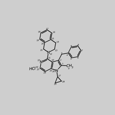 Cc1c(Cc2ccccc2)c2c(N3CCc4ccccc4C3)nccc2n1C1CC1.Cl